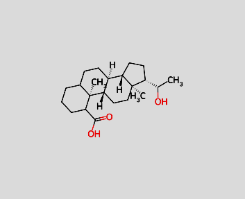 CC(O)[C@H]1CC[C@H]2[C@@H]3CCC4CCCC(C(=O)O)[C@]4(C)[C@H]3CC[C@]12C